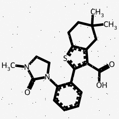 CN1CCN(c2ccccc2-c2sc3c(c2C(=O)O)CC(C)(C)CC3)C1=O